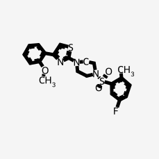 COc1ccccc1-c1csc(N2CCN(S(=O)(=O)c3cc(F)ccc3C)CC2)n1